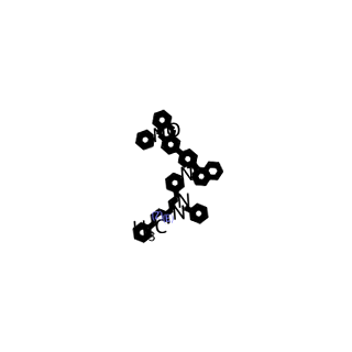 C/C=C(\C=C/Cc1ccccc1)c1cc(-c2cccc(-n3c4cc(-c5ccc6c(c5)Oc5ccccc5N6c5ccccc5)ccc4c4c5c(ccc43)CCC=C5)c2)nc(-c2ccccc2)n1